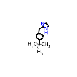 CC(C)(C)c1ccc(Cc2ncc[nH]2)cc1